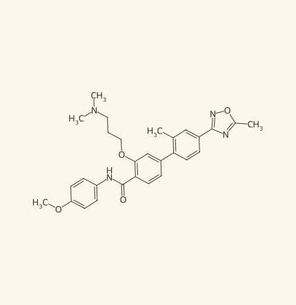 COc1ccc(NC(=O)c2ccc(-c3ccc(-c4noc(C)n4)cc3C)cc2OCCCN(C)C)cc1